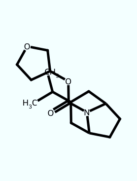 CC(C)C1CC2CCC(C1)N2C(=O)OC1CCOC1